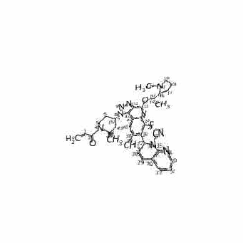 C=CC(=O)N1CC[C@H](n2nnc3c(O[C@@H](C)[C@@H]4CCCN4C)nc4c(F)c(C5C=Cc6cccnc6N5C#N)c(C)cc4c32)C[C@H]1C